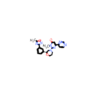 Cc1nc(-c2cccc([C@H]3CN(c4nc(-c5ccncn5)cc(=O)n4C)CCCO3)c2)no1